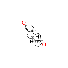 C[C@]12CCC(=O)C=C1CC[C@@H]1C2CC[C@]2(C)C(=O)CC[C@@H]12